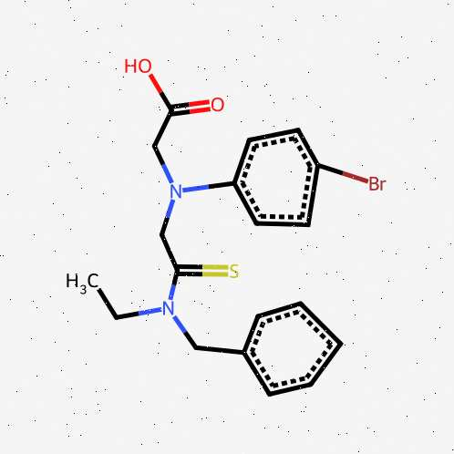 CCN(Cc1ccccc1)C(=S)CN(CC(=O)O)c1ccc(Br)cc1